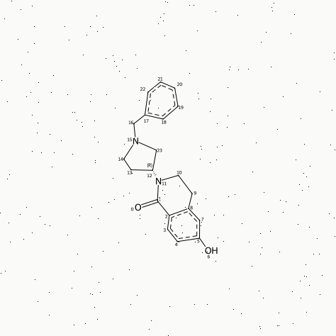 O=C1c2ccc(O)cc2CCN1[C@@H]1CCN(Cc2ccccc2)C1